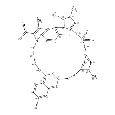 Cc1c(C(=O)O)n2c3ccc(Cl)c(c13)-c1c(nn(C)c1C)CS(=O)(=O)Cc1cc(n(C)n1)CCc1cc(c3ccc(F)cc3c1)OCCC2